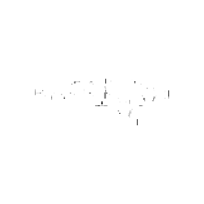 CC(C)(C)n1c(C(=O)NCc2ccc(Cl)c(Oc3cc(Cl)cc(C#N)c3)c2F)cc2ccc(NC(=O)O)cc21